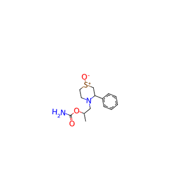 CC(CN1CC[S+]([O-])CC1c1ccccc1)OC(N)=O